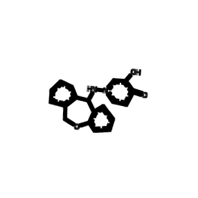 O=c1ccn(NC2c3ccccc3COc3ccccc32)cc1O